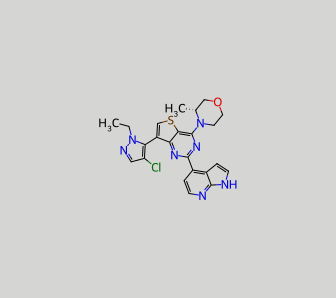 CCn1ncc(Cl)c1-c1csc2c(N3CCOC[C@H]3C)nc(-c3ccnc4[nH]ccc34)nc12